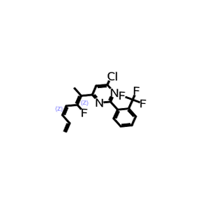 C=C/C=C\C(F)=C(/C)c1cc(Cl)nc(-c2ccccc2C(F)(F)F)n1